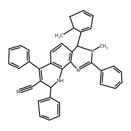 CC1CC=CC=C1C1c2ccc3c(c2N=C(c2ccccc2)N1C)NC(c1ccccc1)C(C#N)=C3c1ccccc1